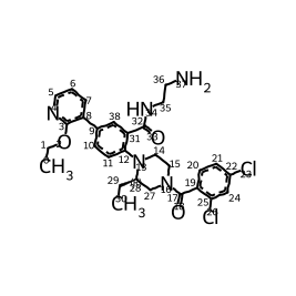 CCOc1ncccc1-c1ccc(N2CCN(C(=O)c3ccc(Cl)cc3Cl)C[C@H]2CC)c(C(=O)NCCN)c1